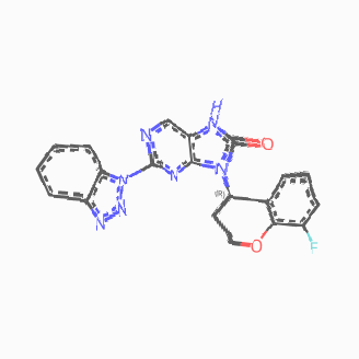 O=c1[nH]c2cnc(-n3nnc4ccccc43)nc2n1[C@@H]1CCOc2c(F)cccc21